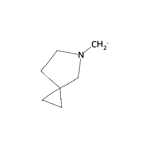 [CH2]N1CCC2(CC2)C1